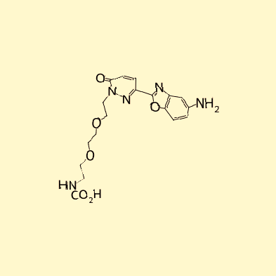 Nc1ccc2oc(-c3ccc(=O)n(CCOCCOCCNC(=O)O)n3)nc2c1